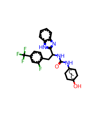 O=C(NC(Cc1ccc(C(F)(F)F)cc1F)c1nc2ccccc2[nH]1)NC12CCC(O)(CC1)CC2